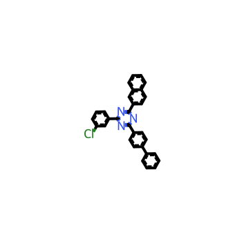 Clc1cccc(-c2nc(-c3ccc(-c4ccccc4)cc3)nc(-c3ccc4ccccc4c3)n2)c1